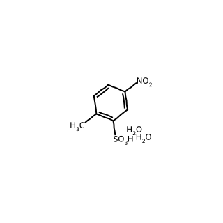 Cc1ccc([N+](=O)[O-])cc1S(=O)(=O)O.O.O